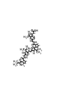 CC(C)C(N)C(=O)N1CCCC1C(=O)NCC(=O)NC(C(=O)NCC(=O)NC(C(=O)N1CCCC1C(=O)NCC(=O)NC(C(=O)NCC(=O)O)C(C)C)C(C)C)C(C)C